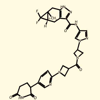 CC12Cc3[nH]nc(C(=O)Nc4cnn(C5CN(C(=O)C6CN(c7ccc(C8CCC(=O)NC8=O)cn7)C6)C5)c4)c3C[C@@H]1C2(F)F